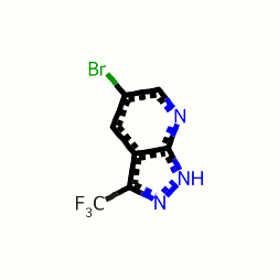 FC(F)(F)c1n[nH]c2ncc(Br)cc12